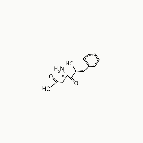 N[C@@H](CC(=O)O)C(=O)C(O)=Cc1ccccc1